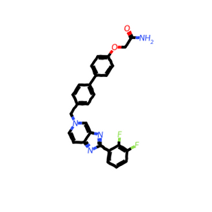 NC(=O)COc1ccc(-c2ccc(Cn3ccc4nc(-c5cccc(F)c5F)nc-4c3)cc2)cc1